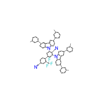 Cc1cccc(-c2ccc3c(c2)c2cc(-c4cccc(C)c4)ccc2n3-c2cc(-c3ccc(C#N)cc3C(F)(F)F)cc(-n3c4ccc(-c5cccc(C)c5)cc4c4cc(-c5cccc(C)c5)ccc43)c2C#N)c1